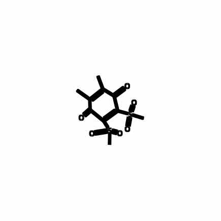 CC1=C(C)C(=O)C(S(C)(=O)=O)=C(S(C)(=O)=O)C1=O